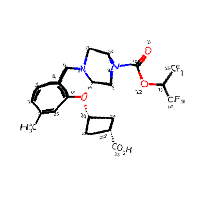 Cc1ccc(CN2CCN(C(=O)OC(C(F)(F)F)C(F)(F)F)CC2)c(O[C@H]2C[C@@H](C(=O)O)C2)c1